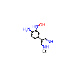 CCN/C=C(\C=N)c1ccc(N)c(NO)c1